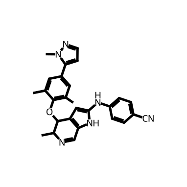 Cc1cc(-c2ccnn2C)cc(C)c1OC1c2cc(Nc3ccc(C#N)cc3)[nH]c2C=NC1C